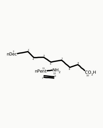 C=C.CCCCCCCCCCCCCCCCCC(=O)O.CCCCCN